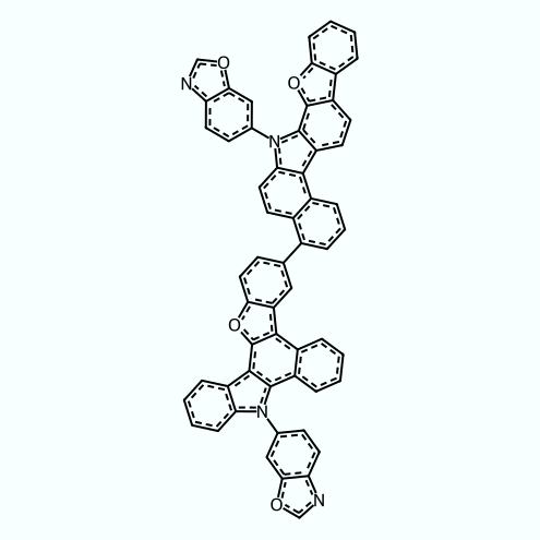 c1ccc2c(c1)oc1c2ccc2c3c4cccc(-c5ccc6oc7c(c6c5)c5ccccc5c5c7c6ccccc6n5-c5ccc6ncoc6c5)c4ccc3n(-c3ccc4ncoc4c3)c21